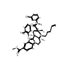 CCCCCN1[C@H]2CCn3c(nc4cc(C(=O)OC)ccc43)[C@H]2[C@H](c2cccc(Cl)c2F)[C@]1(C)C(=O)Nc1cccc(Cl)c1